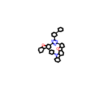 c1ccc(-c2cccc(-c3nc(-c4ccc5c(c4)oc4ccccc45)nc(-c4cccc5c4oc4c5ccc5c6ccccc6n(-c6ccccc6)c54)n3)c2)cc1